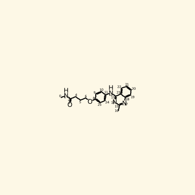 CNC(=O)CCCOc1ccc(Nc2nc(C)nc3ccccc23)cc1